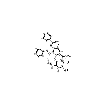 CCC1O[C@@H](O[C@H]2C(C(=O)OC)O[C@H](C)C(OC(=O)c3ccccc3)[C@@H]2OCc2ccccc2)C(N=[N+]=[N-])[C@@H](C)[C@@H]1O